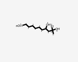 CCCCCCCCCCCCCCC(O)CC(C)(O)CC